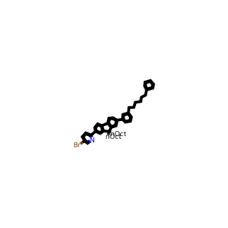 CCCCCCCCC1(CCCCCCCC)c2cc(-c3cccc(CCCCCCc4ccccc4)c3)ccc2-c2ccc(-c3ccc(Br)cn3)cc21